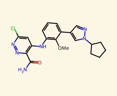 COc1c(Nc2cc(Cl)nnc2C(N)=O)cccc1-c1cnn(C2CCCC2)c1